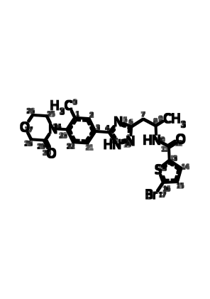 Cc1cc(-c2nc(CC(C)NC(=O)c3ccc(Br)s3)n[nH]2)ccc1N1CCOCC1=O